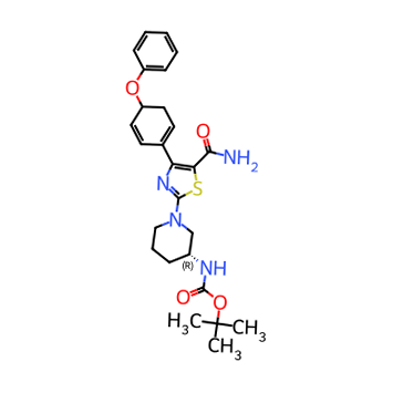 CC(C)(C)OC(=O)N[C@@H]1CCCN(c2nc(C3=CCC(Oc4ccccc4)C=C3)c(C(N)=O)s2)C1